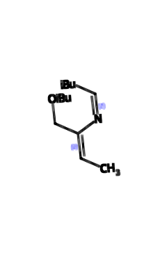 C/C=C(COCC(C)C)\N=C/C(C)CC